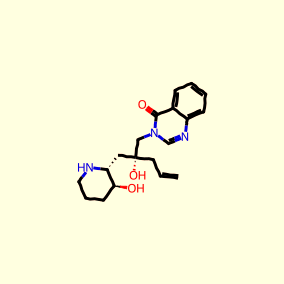 C=CC[C@@](O)(C[C@H]1NCCC[C@@H]1O)Cn1cnc2ccccc2c1=O